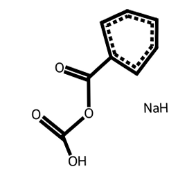 O=C(O)OC(=O)c1ccccc1.[NaH]